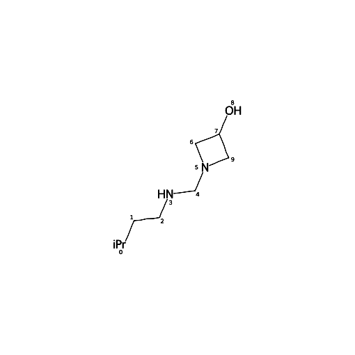 CC(C)CCNCN1CC(O)C1